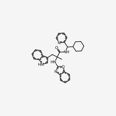 CC(Cc1c[nH]c2ccccc12)(Nc1nc2ccccc2o1)C(=O)NC(c1ccccn1)C1CCCCC1